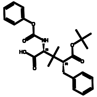 CC(C)(C)OC(=O)[C@H](Cc1ccccc1)C(C)(C)[C@@H](NC(=O)Oc1ccccc1)C(=O)O